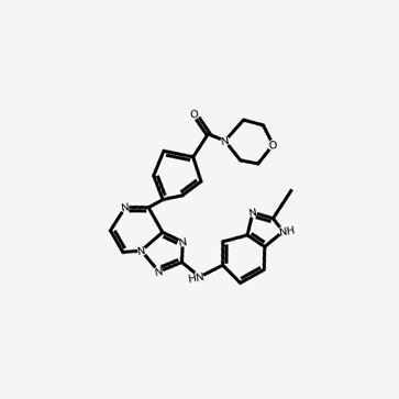 Cc1nc2cc(Nc3nc4c(-c5ccc(C(=O)N6CCOCC6)cc5)nccn4n3)ccc2[nH]1